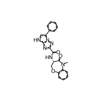 CN1C(=O)[C@@H](NC(=O)c2nc3[nH]cc(-c4ccccc4)n3n2)COc2ccccc21